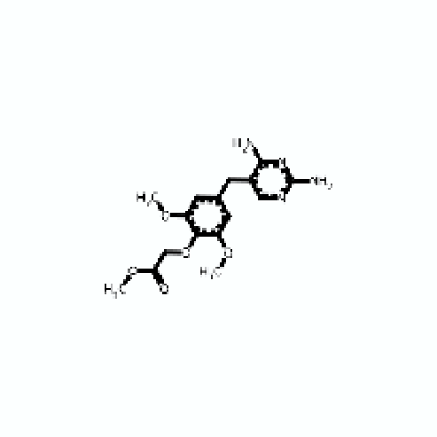 COC(=O)COc1c(OC)cc(Cc2cnc(N)nc2N)cc1OC